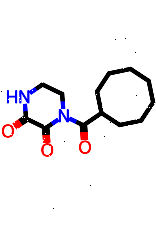 O=C1NCCN(C(=O)C2CCCCCCC2)C1=O